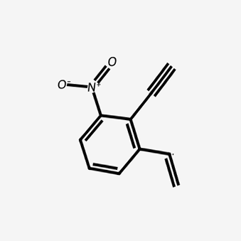 C#Cc1c([C]=C)cccc1[N+](=O)[O-]